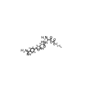 CCCCOC(=O)OC(=O)C(N)CNC(=O)CC1C[C@@H](c2ccc(C(=N)N)cc2)ON1